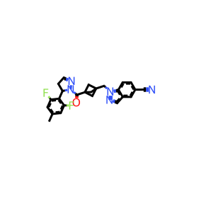 Cc1cc(F)c(C2CC=NN2C(=O)C23CC(Cn4ncc5cc(C#N)ccc54)(C2)C3)c(F)c1